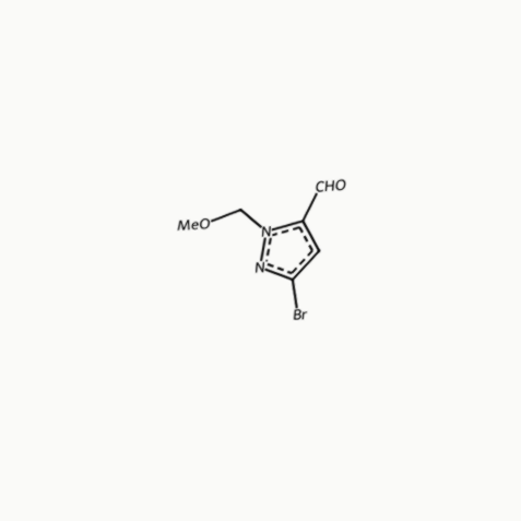 COCn1nc(Br)cc1C=O